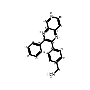 NCc1ccc(-c2nc3ccncc3nc2-c2ccccc2)cc1